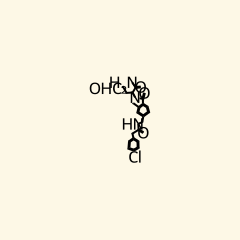 NC(=O)C(CCC=O)N1Cc2cc(CNC(=O)Cc3ccc(Cl)cc3)ccc2C1=O